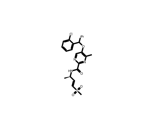 Cc1nc(C(=O)N[C@H](C)/C=C/S(C)(=O)=O)ncc1OC(c1ccccc1Cl)C(C)C